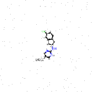 CCOC(=O)c1cnc(N[C@@H]2Cc3ccc(Cl)cc3C2)nc1